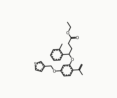 C=C(C)c1ccc(OCc2ccsc2)cc1OC(CCC(=O)OCC)c1ccccc1C